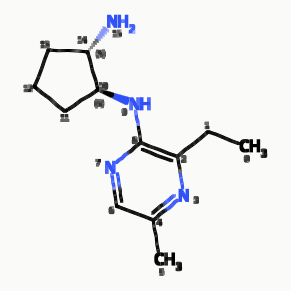 CCc1nc(C)cnc1N[C@H]1CCC[C@@H]1N